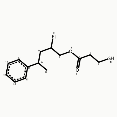 CCC(COC(=O)CCS)CC(C)c1ccccc1